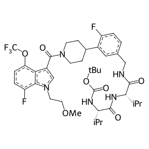 COCCn1cc(C(=O)N2CCC(c3cc(CNC(=O)[C@@H](NC(=O)[C@@H](NC(=O)OC(C)(C)C)C(C)C)C(C)C)ccc3F)CC2)c2c(OC(F)(F)F)ccc(F)c21